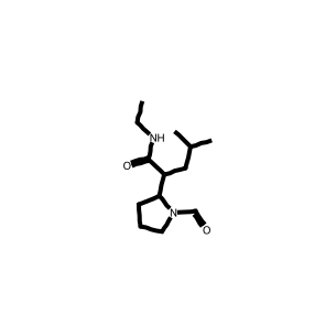 CCNC(=O)C(CC(C)C)C1CCCN1C=O